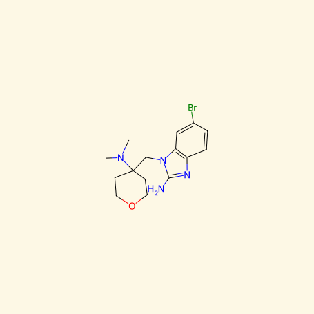 CN(C)C1(Cn2c(N)nc3ccc(Br)cc32)CCOCC1